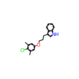 Cc1cc(OCCCc2[c][nH]c3ccccc23)cc(C)c1Cl